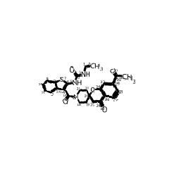 CCNC(=O)Nc1sc2ccccc2c1C(=O)N1CCC2(CC1)CC(=O)c1ccc(C(C)=O)cc1O2